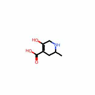 CC1CC(C(=O)O)=C(O)CN1